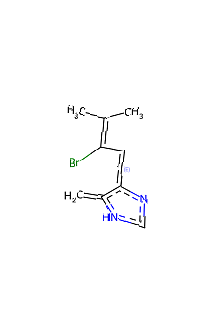 C=c1[nH]cn/c1=C/C(Br)=C(C)C